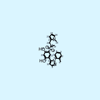 Cc1ccccc1-n1nccc1-c1cc(S(=O)(=O)N(C)Cc2cccn2C)c(O)cc1O